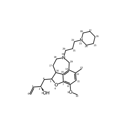 C=C[C@H](O)CC1Oc2c(OC)cc(C)c3c2C1CCN(CCCN1CCCCC1)C3